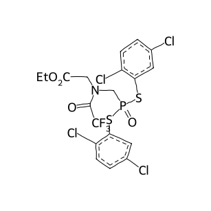 CCOC(=O)CN(CP(=O)(Sc1cc(Cl)ccc1Cl)Sc1cc(Cl)ccc1Cl)C(=O)C(F)(F)F